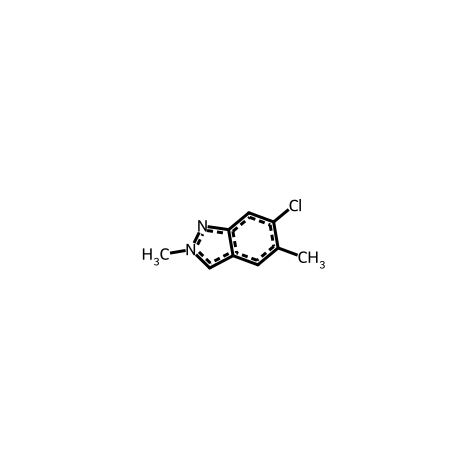 Cc1cc2cn(C)nc2cc1Cl